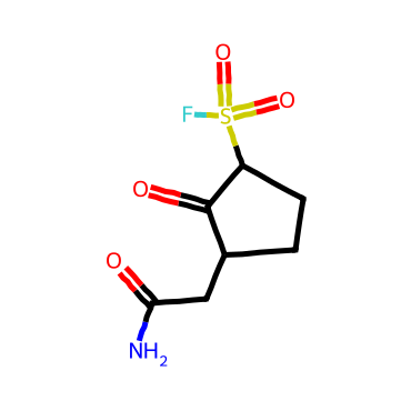 NC(=O)CC1CCC(S(=O)(=O)F)C1=O